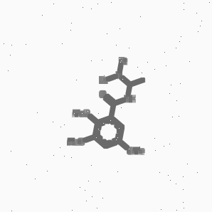 CCN(CC)C(C)NC(=O)c1cc(OC)cc(OC)c1OC